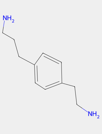 NCCCc1ccc(CCN)cc1